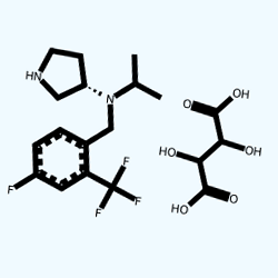 CC(C)N(Cc1ccc(F)cc1C(F)(F)F)[C@H]1CCNC1.O=C(O)C(O)C(O)C(=O)O